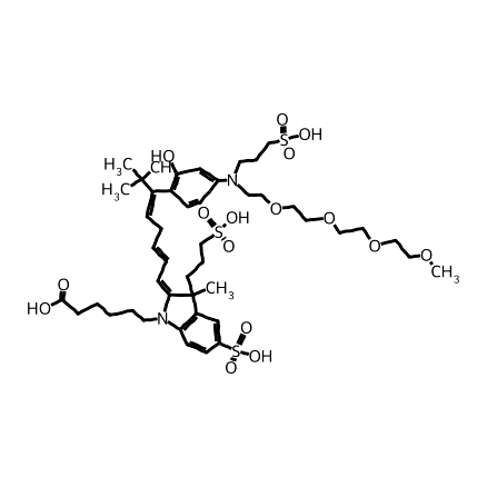 COCCOCCOCCOCCN(CCCS(=O)(=O)O)c1ccc(/C(=C\C/C=C/C=C2/N(CCCCCC(=O)O)c3ccc(S(=O)(=O)O)cc3C2(C)CCCS(=O)(=O)O)C(C)(C)C)c(O)c1